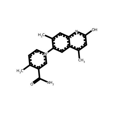 Cc1cc[n+](-c2cc3c(C)cc(O)nc3cc2C)cc1C(N)=O